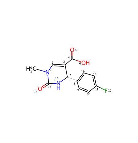 CN1C=C(C(=O)O)[C@H](c2ccc(F)cc2)NC1=O